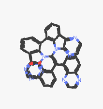 c1cc(C(c2cccc3nccnc23)=c2n3c4nccnc4c4cccc(c5cccc6c7nccnc7n2c56)c43)c2nccnc2c1